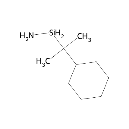 CC(C)([SiH2]N)C1CCCCC1